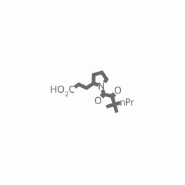 CCCC(C)(C)C(=O)C(=O)N1CCCC1CCC(=O)O